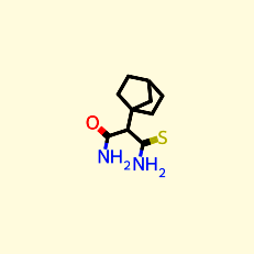 NC(=O)C(C(N)=S)C12CCC(CC1)C2